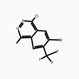 Cc1nnc(Cl)c2cc(Br)c(C(F)(F)F)cc12